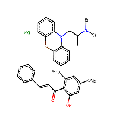 CCN(CC)C(C)CN1c2ccccc2Sc2ccccc21.COc1cc(O)c(C(=O)C=Cc2ccccc2)c(OC)c1.Cl